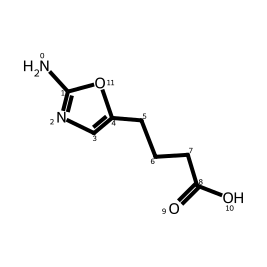 Nc1ncc(CCCC(=O)O)o1